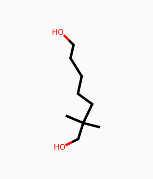 CC(C)(CO)CCCCCO